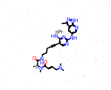 CCCNc1nc(Nc2cnc3[nH]nc(C)c3c2)ncc1C#CCCCNC(=O)[C@H](C)N(C)C(=O)C=CCN(C)C